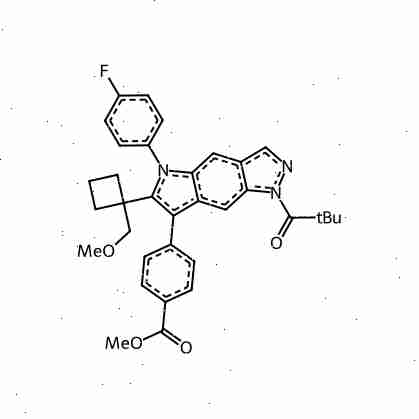 COCC1(c2c(-c3ccc(C(=O)OC)cc3)c3cc4c(cnn4C(=O)C(C)(C)C)cc3n2-c2ccc(F)cc2)CCC1